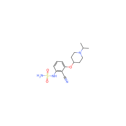 CC(C)N1CCC(Oc2cccc(NS(N)(=O)=O)c2C#N)CC1